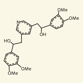 COc1ccc(C(O)Cc2cncc(CC(O)c3ccc(OC)c(OC)c3)c2)cc1OC